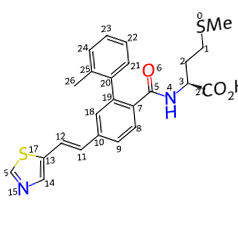 CSCC[C@H](NC(=O)c1ccc(/C=C/c2cncs2)cc1-c1ccccc1C)C(=O)O